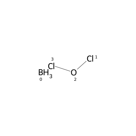 B.ClOCl